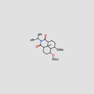 CCCCCCCCOC1CCC2C(=O)N(C(CCC)CCC)C(=O)C3CCC(OC)C1C32C